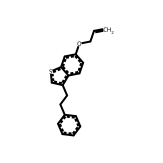 C=CCOc1ccc2c(CCc3ccccc3)csc2c1